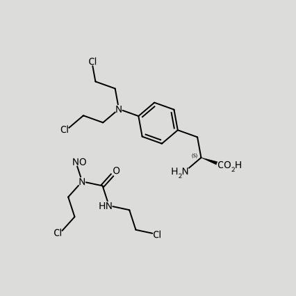 N[C@@H](Cc1ccc(N(CCCl)CCCl)cc1)C(=O)O.O=NN(CCCl)C(=O)NCCCl